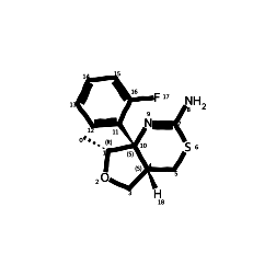 C[C@H]1OC[C@H]2CSC(N)=N[C@]21c1ccccc1F